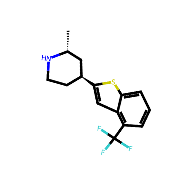 C[C@@H]1C[C@@H](c2cc3c(C(F)(F)F)cccc3s2)CCN1